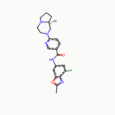 Cc1nc2c(F)cc(NC(=O)c3ccc(N4CCN5CCC[C@H]5C4)nc3)cc2o1